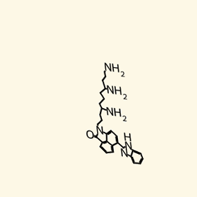 NCCCC(N)CCCC(N)CCCN1C(=O)c2cccc3c(-c4nc5ccccc5[nH]4)ccc1c23